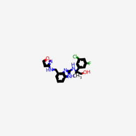 CC(CO)(Nc1nc2c(CNc3ccon3)cccc2[nH]1)c1cc(F)cc(Cl)c1